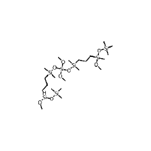 CO[SiH](CCC[Si](C)(C)O[Si](OC)(OC)O[Si](C)(C)CCC[Si](C)(OC)O[Si](C)(C)C)O[Si](C)(C)C